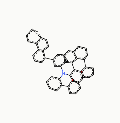 c1ccc(-c2ccccc2N(c2cccc(-c3cccc4c3ccc3ccccc34)c2)c2ccccc2-c2cccc3cccc(-c4ccccc4)c23)cc1